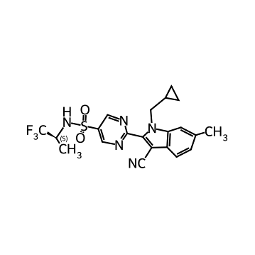 Cc1ccc2c(C#N)c(-c3ncc(S(=O)(=O)N[C@@H](C)C(F)(F)F)cn3)n(CC3CC3)c2c1